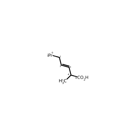 CC(C)CC=CC(C)C(=O)O